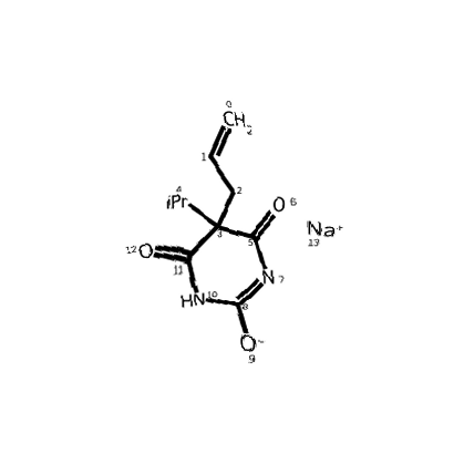 C=CCC1(C(C)C)C(=O)N=C([O-])NC1=O.[Na+]